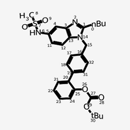 CCCCc1nc2cc(NS(C)(=O)=O)ccc2n1Cc1ccc(-c2ccccc2OC(=O)OC(C)(C)C)cc1